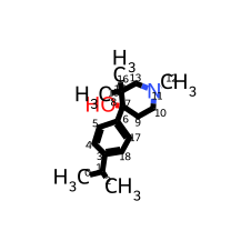 CC(C)c1ccc(C2(O)CCN(C)CC2(C)C)cc1